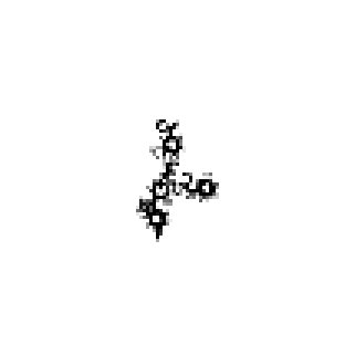 COc1cc(C(C)=O)ccc1OCCC[N+]1(COC(=O)Cc2ccccc2)CCC(c2noc3cc(F)ccc23)CC1